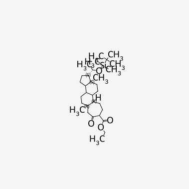 CCOC(=O)C1CC[C@@H]2C3CC[C@@]4(C)C(CC[C@@H]4C(C)O[Si](C)(C)C(C)(C)C)C3CC[C@]2(C)CC1=O